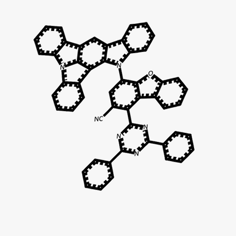 N#Cc1cc(-n2c3ccccc3c3cc4c5ccccc5n5c6ccccc6c(c32)c45)c2oc3ccccc3c2c1-c1nc(-c2ccccc2)nc(-c2ccccc2)n1